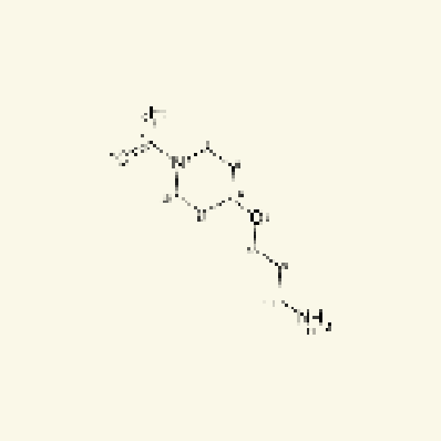 CCC(=O)N1CCC(OCCCN)CC1